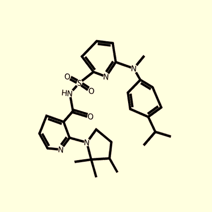 CC(C)c1ccc(N(C)c2cccc(S(=O)(=O)NC(=O)c3cccnc3N3CCC(C)C3(C)C)n2)cc1